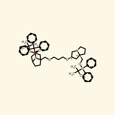 CC(C)(C)OC(=O)N1C2CCC1(COCCCO[C@H]1CN3CCC[C@]3(CO[Si](c3ccccc3)(c3ccccc3)C(C)(C)C)C1)CN(C(c1ccccc1)(c1ccccc1)c1ccccc1)C2